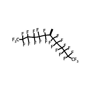 C=C(C(F)(F)C(F)(F)C(F)(F)C(F)(F)C(F)(F)C(F)(F)F)C(F)(F)C(F)(F)C(F)(F)C(F)(F)C(F)(F)C(F)(F)F